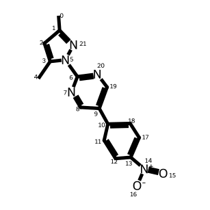 Cc1cc(C)n(-c2ncc(-c3ccc([N+](=O)[O-])cc3)cn2)n1